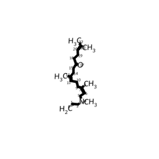 C=CCN(C)CC=C(C)CCC=C(C)CCC(=O)CCC=C(C)C